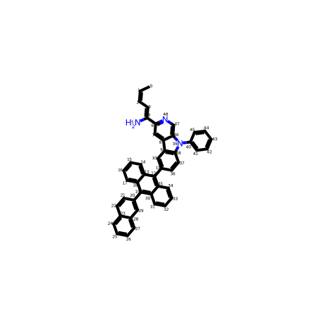 C/C=C\C=C(/N)c1cc2c3cc(-c4c5ccccc5c(-c5ccc6ccccc6c5)c5ccccc45)ccc3n(-c3ccccc3)c2cn1